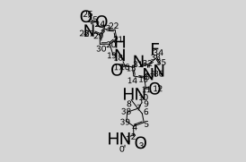 CNC(=O)C1=CCC(C)(CNC(=O)c2cc(C(=O)NCc3ccc4oc(=O)n(C)c4c3)nc3c(F)cnn23)CC1